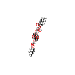 Cc1ccc2cc(COOCCO[C@@H]3CO[C@H]4[C@@H]3OC[C@H]4OCOC(=O)COC(=O)c3ccc4cc(C)ccc4c3)ccc2c1